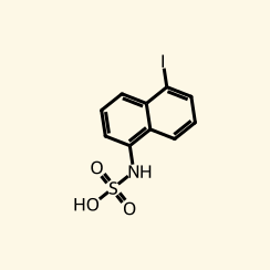 O=S(=O)(O)Nc1cccc2c(I)cccc12